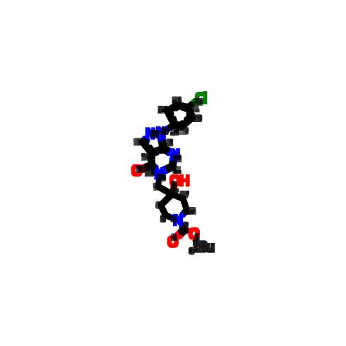 CC(C)(C)OC(=O)N1CCC(O)(Cn2cnc3c(cnn3-c3ccc(Cl)cc3)c2=O)CC1